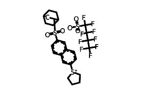 O=S(=O)([O-])C(F)(F)C(F)(F)C(F)(F)C(F)(F)F.O=S(=O)(c1ccc2cc([S+]3CCCC3)ccc2c1)C1CC2CCC1CC2